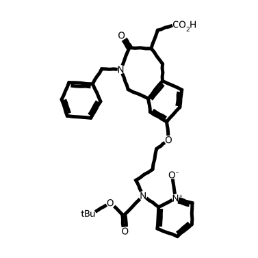 CC(C)(C)OC(=O)N(CCCOc1ccc2c(c1)CN(Cc1ccccc1)C(=O)C(CC(=O)O)C2)c1cccc[n+]1[O-]